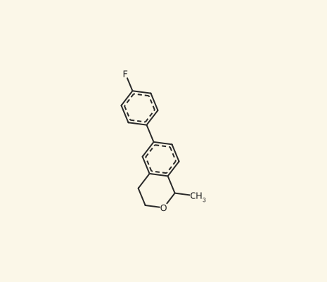 CC1OCCc2cc(-c3ccc(F)cc3)ccc21